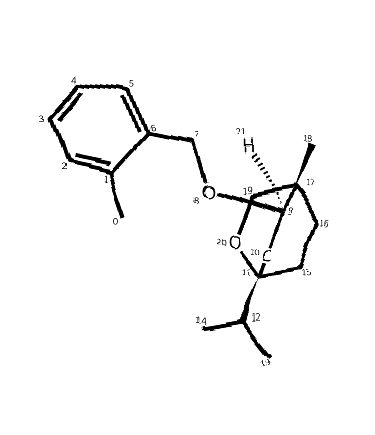 Cc1ccccc1CO[C@@H]1C[C@]2(C(C)C)CC[C@@]1(C)CO2